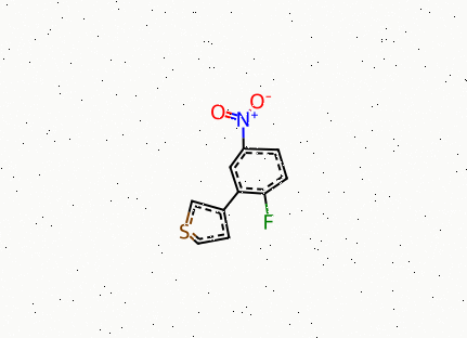 O=[N+]([O-])c1ccc(F)c(-c2ccsc2)c1